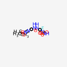 CC(C)(C)OC(=O)N1CCN(c2ccc(NC(=O)Nc3cc(O)c(N4CC(=O)NS4(=O)=O)c(F)c3)cc2)CC1